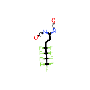 O=C=NC(CCC(F)(F)C(F)(F)C(F)(F)C(F)(F)F)N=C=O